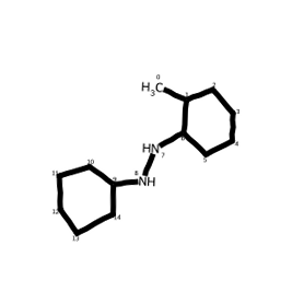 CC1CCCCC1NNC1CCCCC1